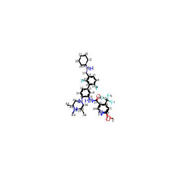 COc1cc(C(F)(F)F)c(C(=O)Nc2cc(-c3c(F)ccc(CNC4CCCCC4)c3F)ccc2N2C[C@@H](C)N(C)[C@@H](C)C2)cn1